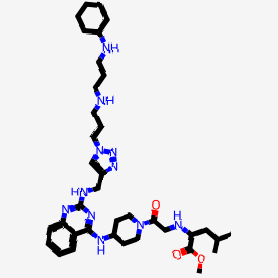 COC(=O)C(CC(C)C)NCC(=O)N1CCC(Nc2nc(NCc3cn(CCCNCCCNC4CCCCC4)nn3)nc3ccccc23)CC1